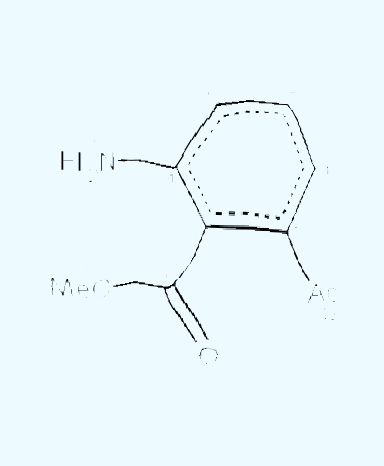 COC(=O)c1c(N)cccc1C(C)=O